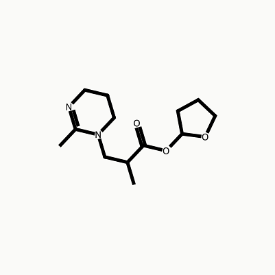 CC1=NCCCN1CC(C)C(=O)OC1CCCO1